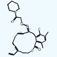 C=C/C1=C\CC/C=C/C(=N\OCC(=O)N2CCCCC2)Cc2c(Cl)c(C)cc(C)c2C(=O)OCC1